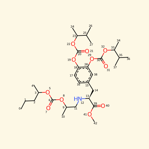 CCCC(C)OC(=O)OC(C)CN[C@@H](Cc1ccc(OC(=O)OC(C)C(C)C)c(OC(=O)OC(C)C(C)C)c1)C(=O)OC